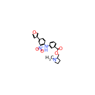 CN1CCCC1COC(=O)c1cccc(Nc2ccc(-c3ccoc3)cc2[N+](=O)[O-])c1